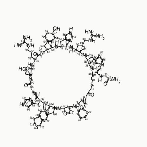 CC[C@@H]1NC(=O)[C@H](Cc2ccccc2)NC(=O)CSC[C@@H](C(=O)NCC(N)=O)NC(=O)[C@H](Cc2cncn2C)NC(=O)[C@H](CCCNC(=N)N)NC(=O)[C@H](Cc2c[nH]cn2)NC(=O)[C@H](Cc2ccc(O)cc2)N(C)C(=O)[C@H](CCCNC(=N)N)NC(=O)[C@H](CO)NC(=O)CNC(=O)[C@H](Cc2c[nH]cn2)NC(=O)[C@H](Cc2ccc3ccccc3c2)NC1=O